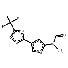 CN(C=O)c1cc(-c2noc(C(F)(F)F)n2)cs1